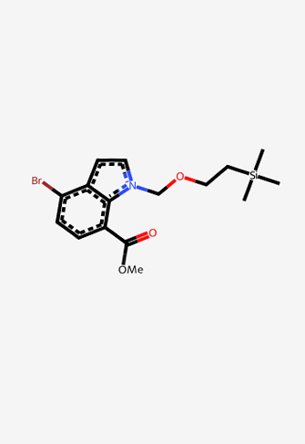 COC(=O)c1ccc(Br)c2ccn(COCC[Si](C)(C)C)c12